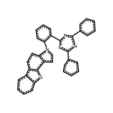 c1ccc(-c2nc(-c3ccccc3)nc(-c3ccccc3-n3ccc4c5sc6ccccc6c5ccc43)n2)cc1